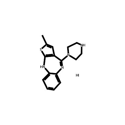 Cc1cc2c(s1)Nc1ccccc1N=C2N1CCNCC1.I